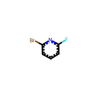 Fc1c[c]cc(Br)n1